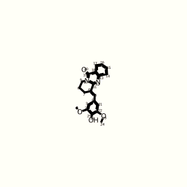 COc1cc(/C=C2\CCCn3c2nc2ccccc2c3=O)cc(OC)c1O